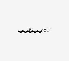 CC=CCCCCCCCC(=O)[O-].[K+]